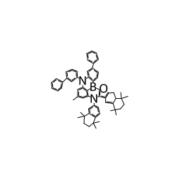 Cc1cc2c3c(c1)N(c1ccc4c(c1)C(C)(C)CCC4(C)C)c1c(oc4c1C=C1C(C4)C(C)(C)CCC1(C)C)B3c1ccc(-c3ccccc3)cc1N2c1cccc(-c2ccccc2)c1